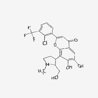 CN1CCC(c2c(O)c(O)cc3c(=O)cc(-c4cccc(C(F)(F)F)c4Cl)oc23)C1CO